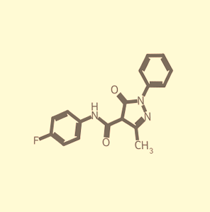 CC1=NN(c2ccccc2)C(=O)C1C(=O)Nc1ccc(F)cc1